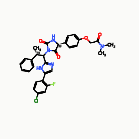 C[C@@H](c1ccccc1)C(c1ncc(-c2ccc(Cl)cc2F)[nH]1)N1C(=O)N[C@H](c2ccc(OCC(=O)N(C)C)cc2)C1=O